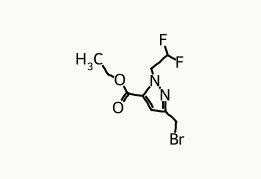 CCOC(=O)c1cc(CBr)nn1CC(F)F